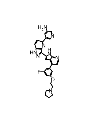 Nc1cncc(-c2ccc3[nH]nc(-c4cc5c(-c6cc(F)cc(OCCN7CCCC7)c6)ccnc5[nH]4)c3n2)c1